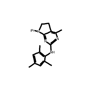 Cc1cc(C)c(Nc2nc(C)c3c(n2)N(C(C)C)CC3)c(C)c1